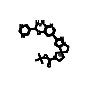 CC(Oc1cc(-c2cc3n(n2)CC[C@]32CCN(C(=O)OC(C)(C)C)C2)cnc1N)c1cncnc1